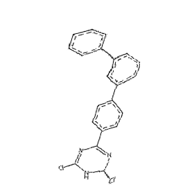 ClC1=NC(c2ccc(-c3cccc(-c4ccccc4)c3)cc2)=NC(Cl)N1